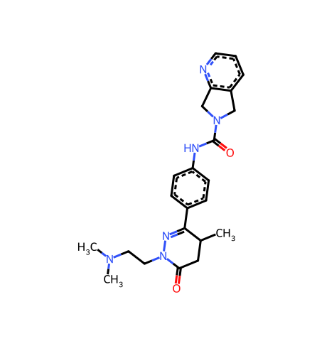 CC1CC(=O)N(CCN(C)C)N=C1c1ccc(NC(=O)N2Cc3cccnc3C2)cc1